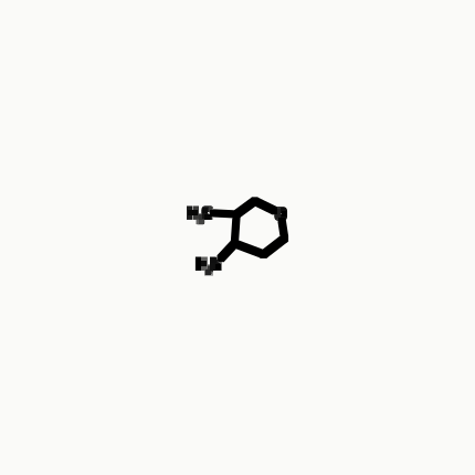 CC1COCCC1N